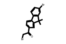 CC1(C)c2cc(Br)ccc2-c2ccc(C(=O)CBr)cc21